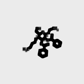 CCCCO[C@H]1C(CO)O[C@@H](SCC)[C@@H](OC(=O)c2ccccc2)C1OC(=O)c1ccccc1